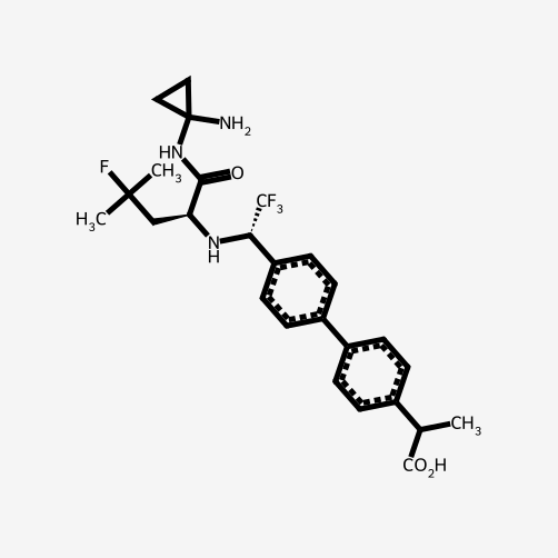 CC(C(=O)O)c1ccc(-c2ccc([C@H](N[C@@H](CC(C)(C)F)C(=O)NC3(N)CC3)C(F)(F)F)cc2)cc1